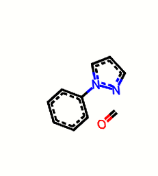 C=O.c1ccc(-n2cccn2)cc1